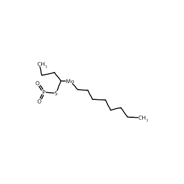 CCCCCCC[CH2][Mo][CH](CCC)SP(=O)=O